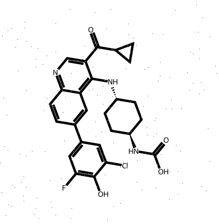 O=C(O)N[C@H]1CC[C@H](Nc2c(C(=O)C3CC3)cnc3ccc(-c4cc(F)c(O)c(Cl)c4)cc23)CC1